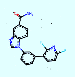 NC(=O)c1ccc2c(c1)ncn2-c1cccc(-c2ccc(F)nc2F)c1